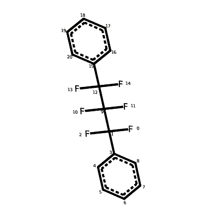 FC(F)(c1ccccc1)C(F)(F)C(F)(F)c1ccccc1